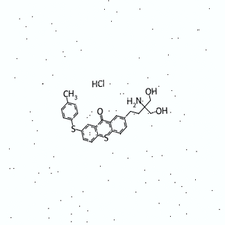 Cc1ccc(Sc2ccc3sc4ccc(CCC(N)(CO)CO)cc4c(=O)c3c2)cc1.Cl